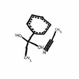 CC#N.CCC(O)(O)c1ccccc1